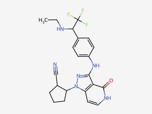 CCNC(c1ccc(Nc2nn(C3CCCC3C#N)c3cc[nH]c(=O)c23)cc1)C(F)(F)F